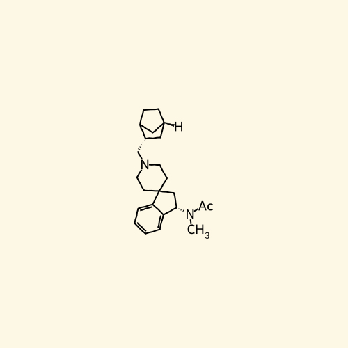 CC(=O)N(C)[C@H]1CC2(CCN(C[C@H]3C[C@H]4CCC3C4)CC2)c2ccccc21